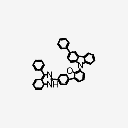 C1=CC2=C(c3ccccc3)N=C(c3ccc4c(c3)oc3c(-n5c6ccccc6c6cc(-c7ccccc7)ccc65)cccc34)NC2C=C1